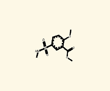 CNS(=O)(=O)c1ccc(OC)c(C(=O)OC)c1